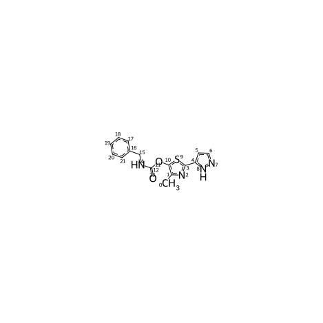 Cc1nc(-c2ccn[nH]2)sc1OC(=O)NCc1ccccc1